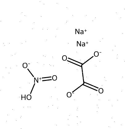 O=C([O-])C(=O)[O-].O=[N+]([O-])O.[Na+].[Na+]